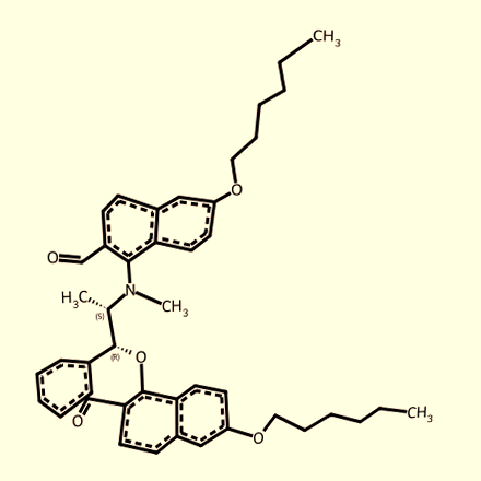 CCCCCCOc1ccc2c(O[C@H](c3ccccc3)[C@H](C)N(C)c3c(C=O)ccc4cc(OCCCCCC)ccc34)c(C=O)ccc2c1